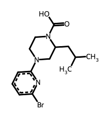 CC(C)CC1CN(c2cccc(Br)n2)CCN1C(=O)O